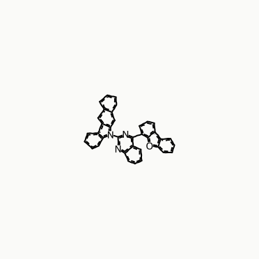 c1ccc2cc3c(cc2c1)c1ccccc1n3-c1nc(-c2cccc3c2oc2ccccc23)c2ccccc2n1